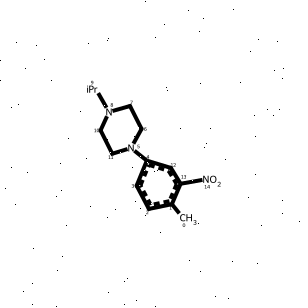 Cc1ccc(N2CCN(C(C)C)CC2)cc1[N+](=O)[O-]